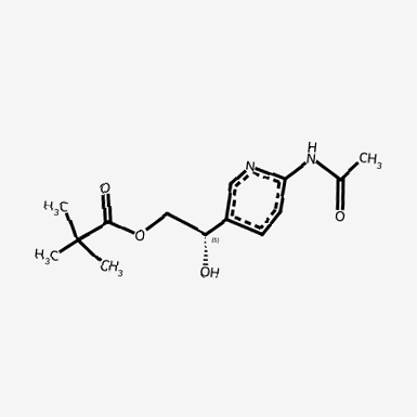 CC(=O)Nc1ccc([C@H](O)COC(=O)C(C)(C)C)cn1